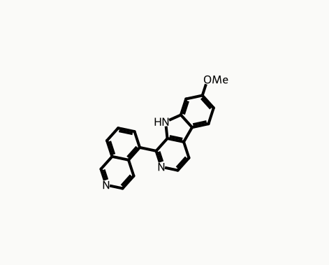 COc1ccc2c(c1)[nH]c1c(-c3cccc4cnccc34)nccc12